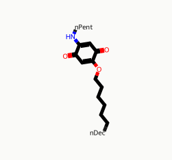 CCCCCCCCCCCCCCCCOC1=CC(=O)C(NCCCCC)=CC1=O